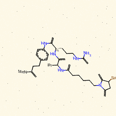 C=C(N)NCCC[C@H](NC(=C)C(NC(=C)CCCCCN1C(=C)CC(S)C1=C)C(C)C)C(=C)Nc1ccc(CCC(=C)NC)cc1